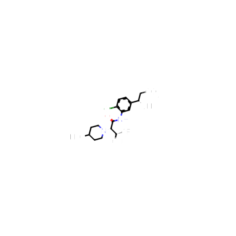 CC1CCN([C@H](C(=O)Nc2cc([C@H](C)CC(=O)O)ccc2Cl)[C@H](C)C(F)(F)F)CC1